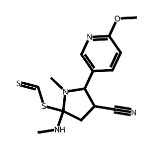 CNC1(SC=S)CC(C#N)C(c2ccc(OC)nc2)N1C